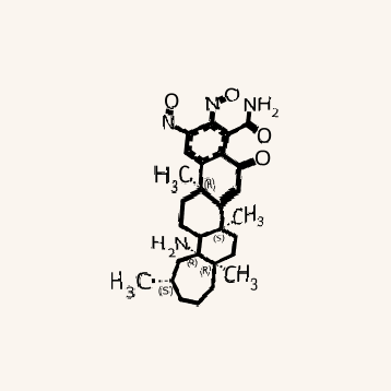 C[C@H]1CCC[C@]2(C)CC[C@]3(C)C4=CC(=O)c5c(cc(N=O)c(N=O)c5C(N)=O)[C@]4(C)CCC3[C@]2(N)C1